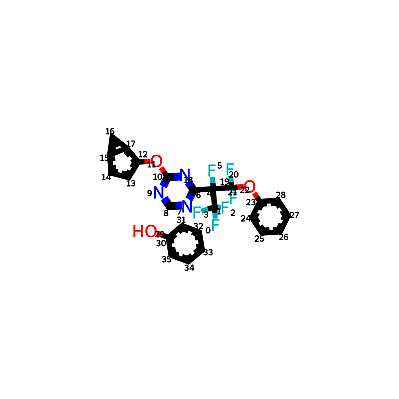 FC(F)(F)C(F)(c1ncnc(Oc2ccc3cc2-3)n1)C(F)(F)Oc1ccccc1.Oc1ccccc1